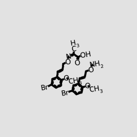 COc1ccc(Br)cc1C=CCON.COc1ccc(Br)cc1C=CCON=C(C)C(=O)O